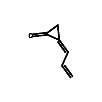 C=CC=C1CC1=O